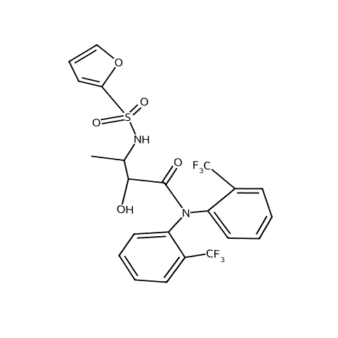 CC(NS(=O)(=O)c1ccco1)C(O)C(=O)N(c1ccccc1C(F)(F)F)c1ccccc1C(F)(F)F